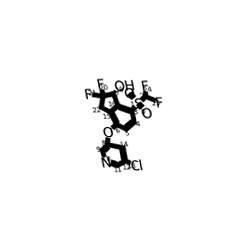 O=S(=O)(c1ccc(Oc2cncc(Cl)c2)c2c1[C@H](O)C(F)(F)C2)C(F)F